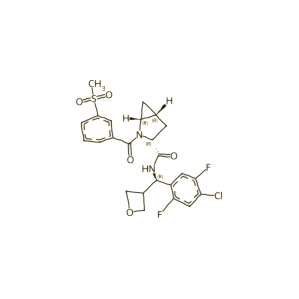 CS(=O)(=O)c1cccc(C(=O)N2[C@@H](C(=O)N[C@@H](c3cc(F)c(Cl)cc3F)C3COC3)C[C@H]3C[C@H]32)c1